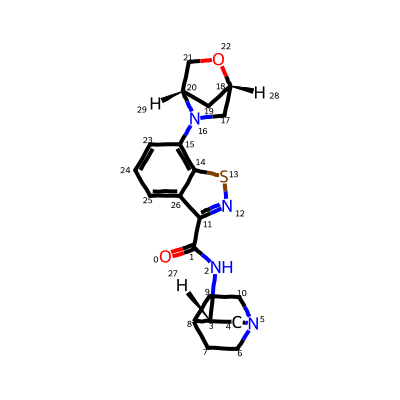 O=C(N[C@@H]1CN2CCC1CC2)c1nsc2c(N3C[C@@H]4C[C@H]3CO4)cccc12